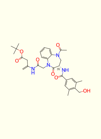 C=C(CC(=O)OC(C)(C)C)NC(=O)CN1C(=O)[C@@H](NC(=O)c2cc(C)c(CO)c(C)c2)CN(C(C)=O)c2ccccc21